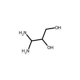 NC(N)C(O)CO